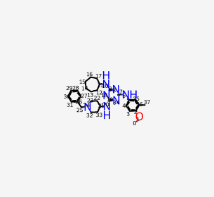 COc1ccc(Nc2nc(NC3CCCCCC3)nc(NC3CCN(Cc4ccccc4)CC3)n2)cc1C